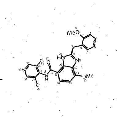 COc1ccccc1Cc1nc2c(OC)ccc(C(=O)Nc3c(Cl)cncc3Cl)c2[nH]1